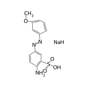 COc1cccc(/N=N/c2ccc(N)c(S(=O)(=O)O)c2)c1.[NaH]